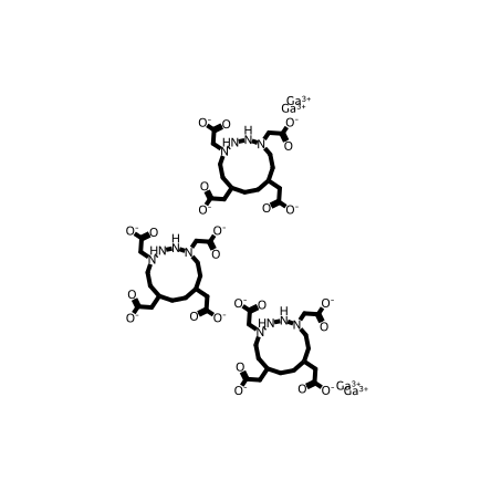 O=C([O-])CC1CCC(CC(=O)[O-])CCN(CC(=O)[O-])NNN(CC(=O)[O-])CC1.O=C([O-])CC1CCC(CC(=O)[O-])CCN(CC(=O)[O-])NNN(CC(=O)[O-])CC1.O=C([O-])CC1CCC(CC(=O)[O-])CCN(CC(=O)[O-])NNN(CC(=O)[O-])CC1.[Ga+3].[Ga+3].[Ga+3].[Ga+3]